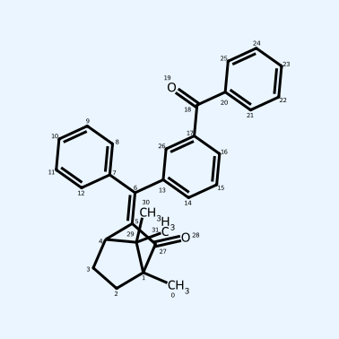 CC12CCC(C(=C(c3ccccc3)c3cccc(C(=O)c4ccccc4)c3)C1=O)C2(C)C